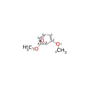 COc1cc2cc(OC)c1o2